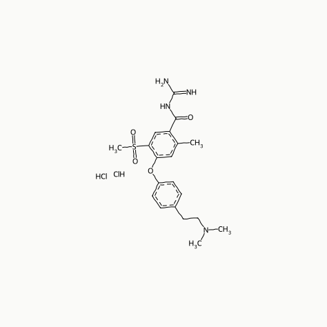 Cc1cc(Oc2ccc(CCN(C)C)cc2)c(S(C)(=O)=O)cc1C(=O)NC(=N)N.Cl.Cl